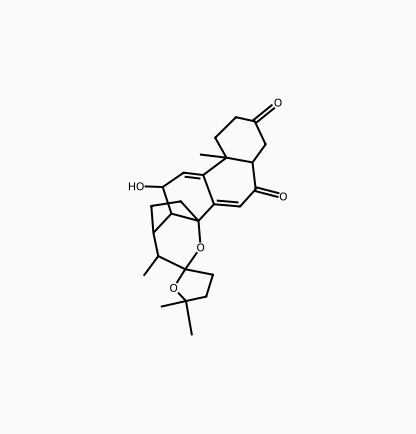 CC1C2CCC3(OC14CCC(C)(C)O4)C1=CC(=O)C4CC(=O)CCC4(C)C1=CC(O)C23